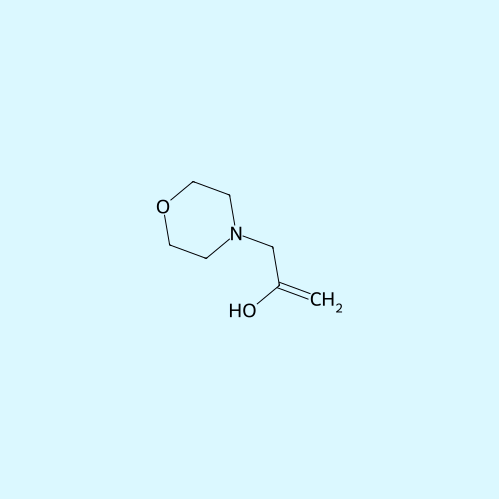 C=C(O)CN1CCOCC1